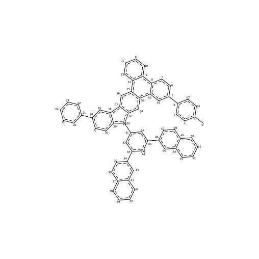 Cc1ccc(-c2ccc3c4ccccc4c4cc5c6cc(-c7ccccc7)ccc6n(-c6cc(-c7ccc8ccccc8c7)nc(-c7ccc8ccccc8c7)c6)c5cc4c3c2)cc1